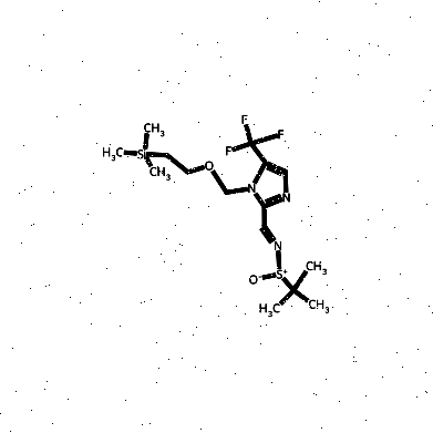 CC(C)(C)[S+]([O-])/N=C/c1ncc(C(F)(F)F)n1COCC[Si](C)(C)C